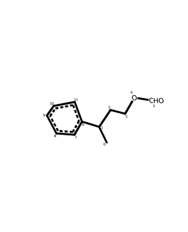 CC(CCOC=O)c1ccccc1